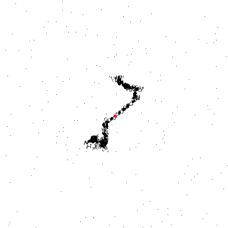 Cc1nc2cc(F)c(-c3cnc(N4CCN(C(=O)COCCOCCOCCOCCOCCOCCn5cc(CC[C@H](NC(=O)c6ccc(CCc7ccc8nc(N)nc(O)c8c7)cc6)C(=O)O)nn5)CC4)nc3)nc2c(N[C@H](C)c2cc(C#N)ccc2F)c1Cl